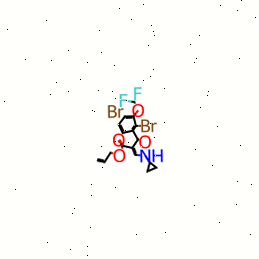 C=CCOC(=O)/C(=C/NC1CC1)C(=O)c1ccc(Br)c(OC(F)F)c1Br